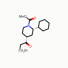 CCOC(=O)CC(=O)[C@@H]1CCN(C(=O)OC)[C@H](C2CCCCC2)C1